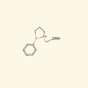 COC[C@H]1CCCP1c1ccccc1